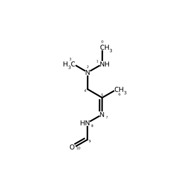 CNN(C)C/C(C)=N\NC=O